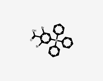 O=C(O)c1c(Br)cc([Si](c2ccccc2)(c2ccccc2)c2ccccc2)cc1Br